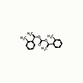 C=C(OC(=O)OC(=C)c1ccccc1C)c1ccccc1C